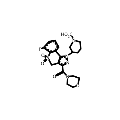 O=C(O)N1CCCC(n2nc(C(=O)N3CCOCC3)c3c2-c2cccc(F)c2S(=O)(=O)C3)C1